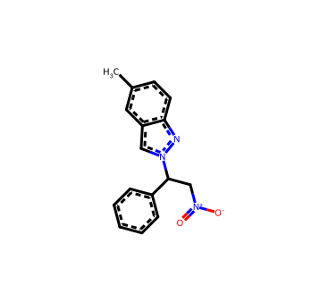 Cc1ccc2nn(C(C[N+](=O)[O-])c3ccccc3)cc2c1